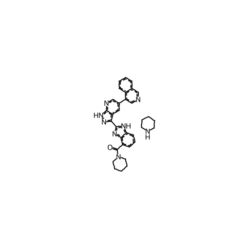 C1CCNCC1.O=C(c1cccc2[nH]c(-c3n[nH]c4ncc(-c5cncc6ccccc56)cc34)nc12)N1CCCCC1